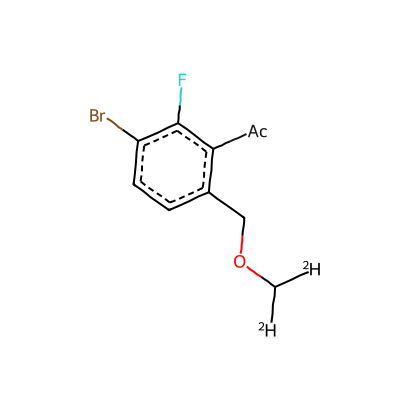 [2H]C([2H])OCc1ccc(Br)c(F)c1C(C)=O